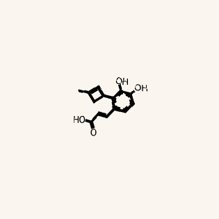 CC1=CC(c2c(C=CC(=O)O)ccc(O)c2O)C1